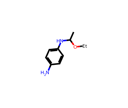 CCOC(C)Nc1ccc(N)cc1